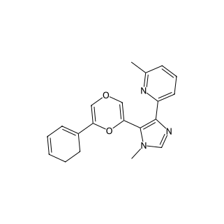 Cc1cccc(-c2ncn(C)c2C2=COC=C(C3=CC=CCC3)O2)n1